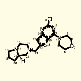 Clc1nc(N2CCOCC2)c2sc(CN3CCN4CCC[C@@H]4C3)cc2n1